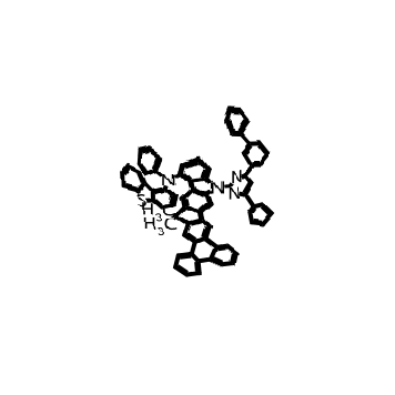 CC1(C)c2cc3c4ccccc4c4ccccc4c3cc2-c2cc3c(cc21)c1c(N(c2ccccc2)c2cccc4sc5ccccc5c24)cccc1n3-c1nc(-c2ccccc2)cc(-c2cccc(-c3ccccc3)c2)n1